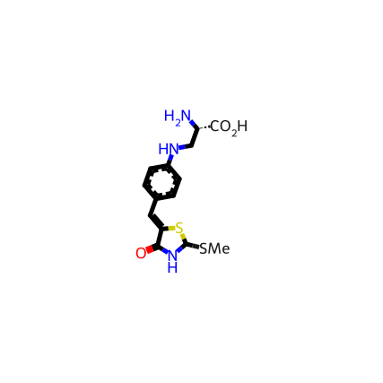 CSC1NC(=O)/C(=C/c2ccc(NC[C@H](N)C(=O)O)cc2)S1